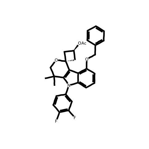 CC(=O)O[C@H]1C[C@@]2(C1)OCC(C)(C)c1c2c2c(OCc3ccccc3)cccc2n1-c1ccc(F)c(F)c1